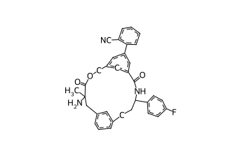 CC1(N)Cc2cccc(c2)CCC(c2ccc(F)cc2)NC(=O)c2cc(cc(-c3ccccc3C#N)c2)COC1=O